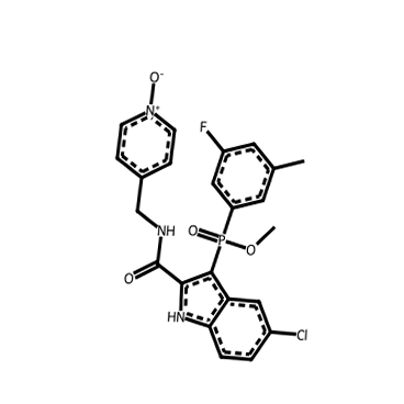 COP(=O)(c1cc(C)cc(F)c1)c1c(C(=O)NCc2cc[n+]([O-])cc2)[nH]c2ccc(Cl)cc12